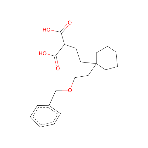 O=C(O)C(CCC1(CCOCc2ccccc2)CCCCC1)C(=O)O